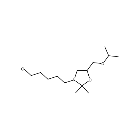 CC(C)OCC1CN(CCCCCCl)C(C)(C)O1